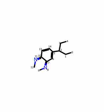 CCC(CC)C1=CC(=N/C)/C(=N\C)C=C1